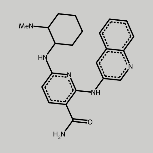 CNC1CCCCC1Nc1ccc(C(N)=O)c(Nc2cnc3ccccc3c2)n1